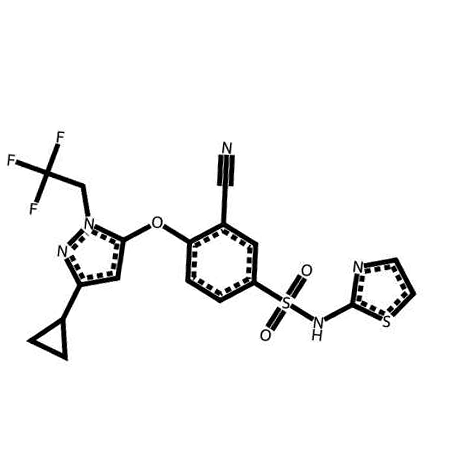 N#Cc1cc(S(=O)(=O)Nc2nccs2)ccc1Oc1cc(C2CC2)nn1CC(F)(F)F